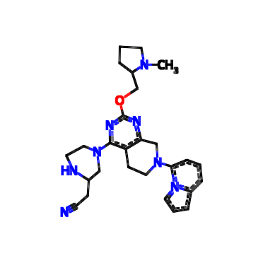 CN1CCCC1COc1nc2c(c(N3CCNC(CC#N)C3)n1)CCN(c1cccc3cccn13)C2